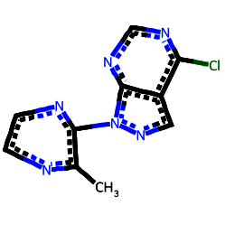 Cc1nccnc1-n1ncc2c(Cl)ncnc21